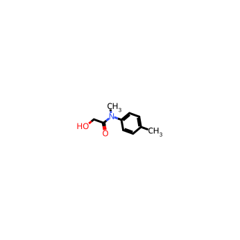 Cc1ccc(N(C)C(=O)CO)cc1